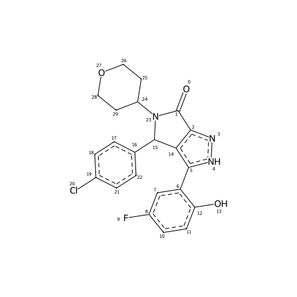 O=C1c2n[nH]c(-c3cc(F)ccc3O)c2C(c2ccc(Cl)cc2)N1C1CCOCC1